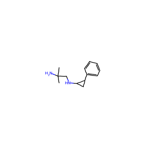 CC(C)(N)CNC1CC1c1ccccc1